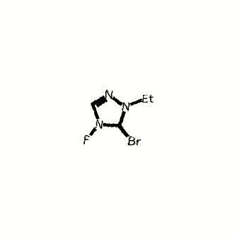 CCN1N=CN(F)C1Br